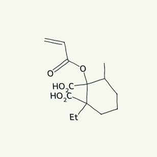 C=CC(=O)OC1(C(=O)O)C(C)CCCC1(CC)C(=O)O